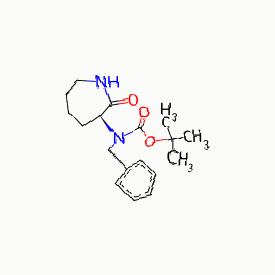 CC(C)(C)OC(=O)N(Cc1ccccc1)[C@H]1CCCCNC1=O